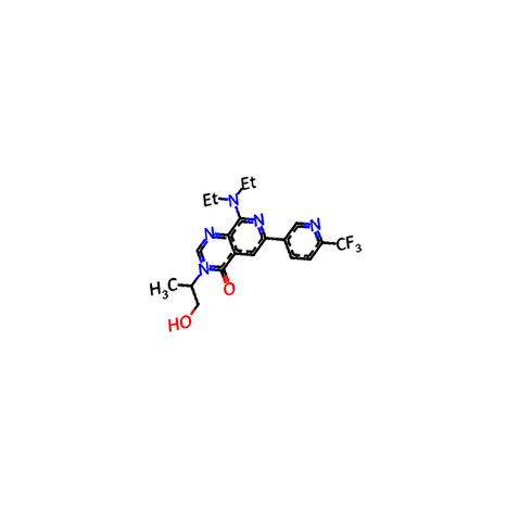 CCN(CC)c1nc(-c2ccc(C(F)(F)F)nc2)cc2c(=O)n(C(C)CO)cnc12